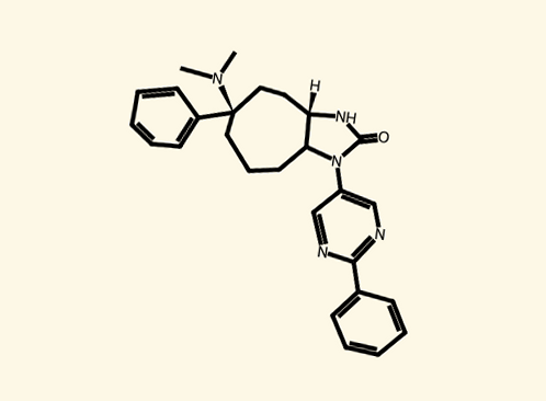 CN(C)[C@]1(c2ccccc2)CCCC2[C@H](CC1)NC(=O)N2c1cnc(-c2ccccc2)nc1